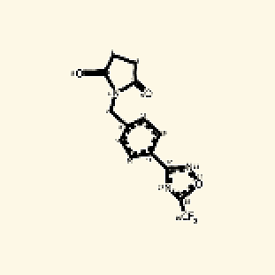 O=C1CCC(=O)N1Cc1ccc(-c2noc(C(F)(F)F)n2)cc1